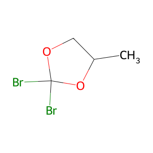 CC1COC(Br)(Br)O1